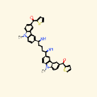 CCn1c2ccc(C(=N)CCCC(=N)c3ccc4c(c3)c3cc(C(=O)c5cccs5)ccc3n4CC)cc2c2cc(C(=O)c3cccs3)ccc21